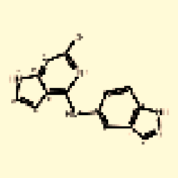 Clc1nc(Nc2ccc3[nH]ncc3c2)c2cc[nH]c2n1